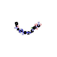 O=C1CC[C@H](N2C(=O)c3cc(F)c(N4CCC(CN5CCN(c6ccc(Nc7ncnc8c7ncn8C7CC(NC(=O)Cc8ccccc8)C7)cc6)CC5)CC4)cc3C2=O)C(=O)N1